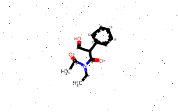 CCN(C(C)=O)C(=O)C(C=O)c1ccccc1